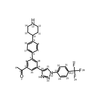 CC(=O)c1cc(-c2ccc(C3CCNCC3)cc2)cc(-c2cn(-c3ccc(C(F)(F)F)cc3)nn2)c1